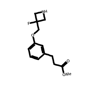 COC(=O)CCc1cccc(OCC2(F)CNC2)c1